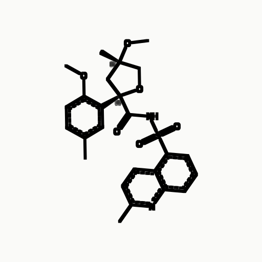 COc1ccc(C)cc1[C@@]1(C(=O)NS(=O)(=O)c2cccc3nc(C)ccc23)C[C@](C)(OC)CO1